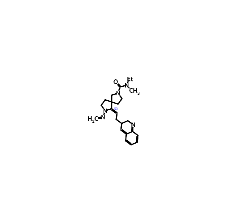 C=NN1CCC2(CCN(C(=O)N(C)CC)C2)/C1=C/CC1C=c2ccccc2=NC1